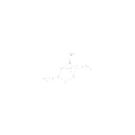 CC1CC2CC1C(S)C2C